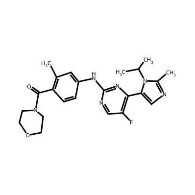 Cc1cc(Nc2ncc(F)c(-c3cnc(C)n3C(C)C)n2)ccc1C(=O)N1CCOCC1